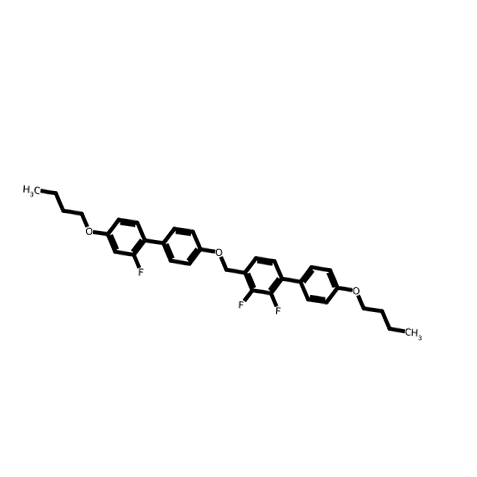 CCCCOc1ccc(-c2ccc(COc3ccc(-c4ccc(OCCCC)cc4F)cc3)c(F)c2F)cc1